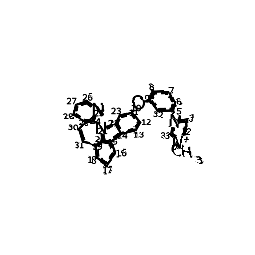 C[n+]1ccn(-c2cccc(Oc3ccc4c5cccc6c5n(c4c3)-c3ncccc3C=C6)c2)c1